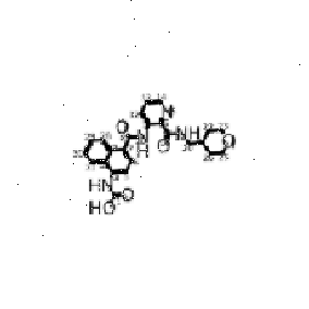 O=C(O)Nc1ccc(C(=O)Nc2cccnc2C(=O)NCC2CCOCC2)c2ccccc12